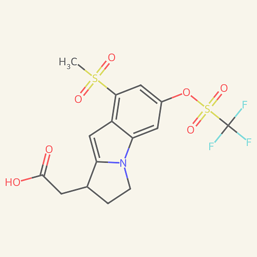 CS(=O)(=O)c1cc(OS(=O)(=O)C(F)(F)F)cc2c1cc1n2CCC1CC(=O)O